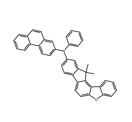 CC1(C)c2cc(N(c3ccccc3)c3ccc4c(ccc5ccccc54)c3)ccc2-c2ccc3oc4ccccc4c3c21